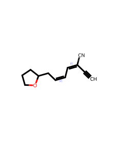 C#C/C(C#N)=C\C=C/CC1CCCO1